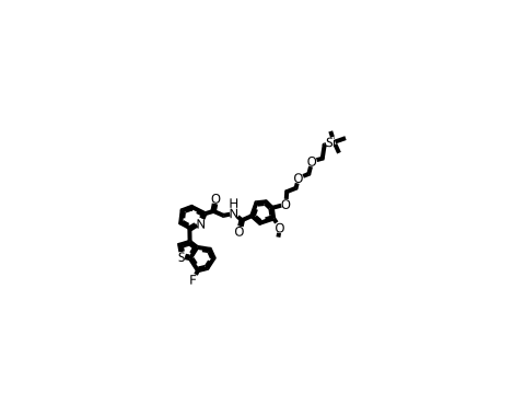 COc1cc(C(=O)NCC(=O)c2cccc(-c3csc4c(F)cccc34)n2)ccc1OCCOCOCC[Si](C)(C)C